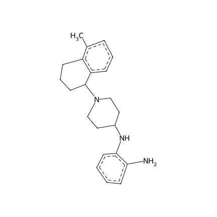 Cc1cccc2c1CCCC2N1CCC(Nc2ccccc2N)CC1